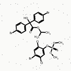 CC(C)OC(=O)C(O)(c1ccc(Br)cc1)c1ccc(Br)cc1.COP(=S)(OC)Oc1cc(Cl)c(Br)cc1Cl